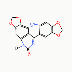 CCn1c(=O)nc(-c2cc3c(cc2N)OCO3)c2cc3c(cc21)OCO3